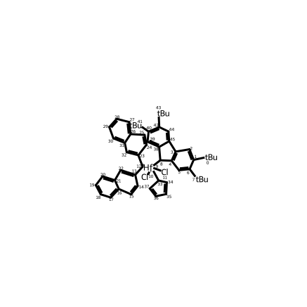 CC(C)(C)c1cc2c(cc1C(C)(C)C)[CH]([Hf]([Cl])([Cl])(=[C](c1ccc3ccccc3c1)c1ccc3ccccc3c1)[CH]1C=CC=C1)c1cc(C(C)(C)C)c(C(C)(C)C)cc1-2